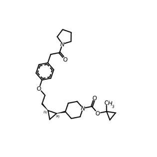 CC1(OC(=O)N2CCC([C@H]3C[C@H]3CCOc3ccc(CC(=O)N4CCCC4)cc3)CC2)CC1